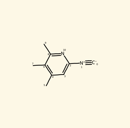 [C-]#[N+]c1cc(C)c(C)c(C)n1